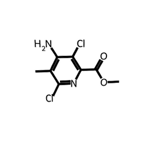 COC(=O)c1nc(Cl)c(C)c(N)c1Cl